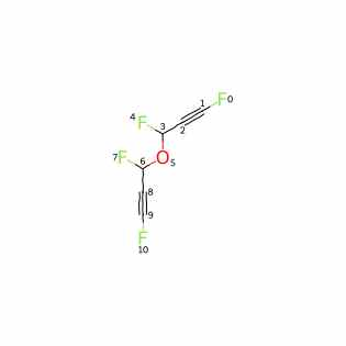 FC#CC(F)OC(F)C#CF